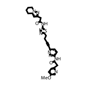 COc1ccc(CC(=O)Nc2ccc(C#CCCc3nnc(NC(=O)Cc4cc5n(n4)CCCC5)s3)nn2)nc1